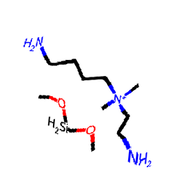 CO[SiH2]OC.C[N+](C)(CCN)CCCCN